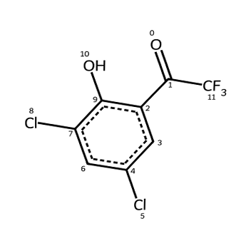 O=C(c1cc(Cl)cc(Cl)c1O)C(F)(F)F